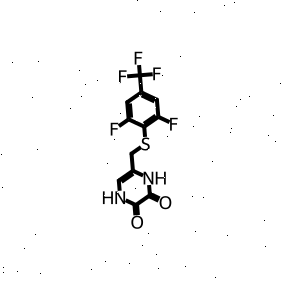 O=c1[nH]cc(CSc2c(F)cc(C(F)(F)F)cc2F)[nH]c1=O